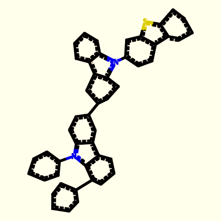 c1ccc(-c2cccc3c4cc(-c5ccc6c(c5)c5ccccc5n6-c5ccc6c(c5)sc5ccccc56)ccc4n(-c4ccccc4)c23)cc1